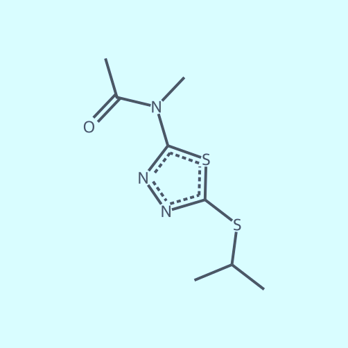 CC(=O)N(C)c1nnc(SC(C)C)s1